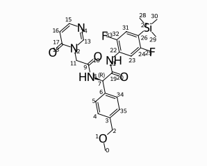 COCc1ccc([C@@H](NC(=O)Cn2cnccc2=O)C(=O)Nc2cc(F)c([Si](C)(C)C)cc2F)cc1